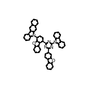 c1ccc2cc3c(cc2c1)c1ccccc1n3-c1ccc(-c2nc(-c3ccc4c(c3)oc3ccccc34)nc(-n3c4ccccc4c4ccccc43)n2)c2c1oc1ccccc12